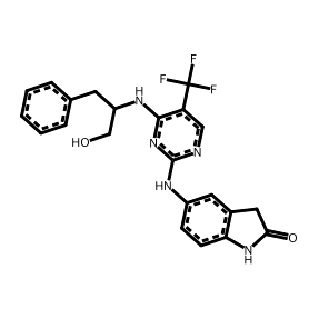 O=C1Cc2cc(Nc3ncc(C(F)(F)F)c(NC(CO)Cc4ccccc4)n3)ccc2N1